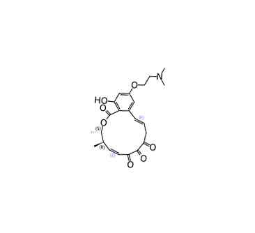 C[C@@H]1/C=C\C(=O)C(=O)C(=O)C/C=C/c2cc(OCCN(C)C)cc(O)c2C(=O)O[C@H]1C